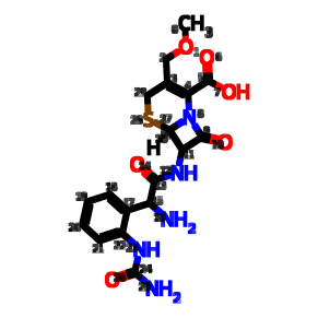 COCC1=C(C(=O)O)N2C(=O)C(NC(=O)C(N)c3ccccc3NC(N)=O)[C@H]2SC1